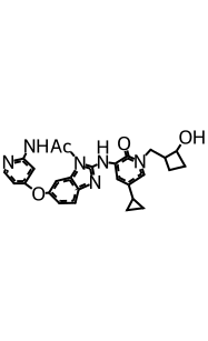 CC(=O)Nc1cc(Oc2ccc3nc(Nc4cc(C5CC5)cn(CC5CCC5O)c4=O)n(C)c3c2)ccn1